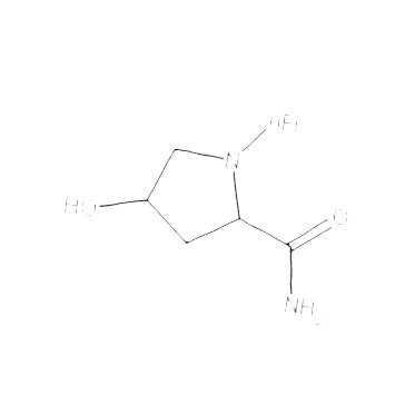 CCCN1CC(O)CC1C(N)=O